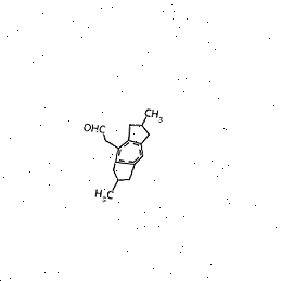 CC1Cc2cc3c(c(CC=O)c2C1)CC(C)C3